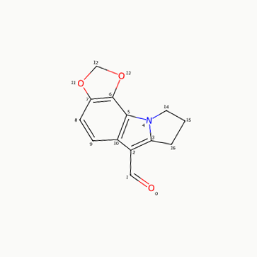 O=Cc1c2n(c3c4c(ccc13)OCO4)CCC2